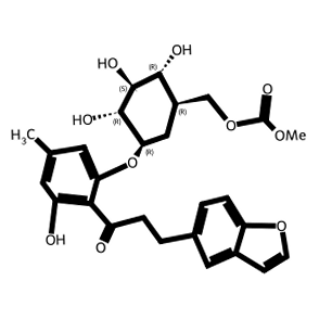 COC(=O)OC[C@H]1C[C@@H](Oc2cc(C)cc(O)c2C(=O)CCc2ccc3occc3c2)[C@H](O)[C@@H](O)[C@@H]1O